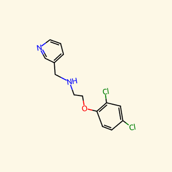 Clc1ccc(OCCNCc2cccnc2)c(Cl)c1